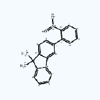 CC1(C)c2ccccc2-c2cc(-c3ccccc3[N+](=O)[O-])ccc21